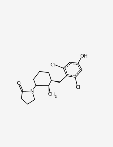 C[C@H]1C(N2CCCC2=O)CCC[C@H]1Cc1c(Cl)cc(O)cc1Cl